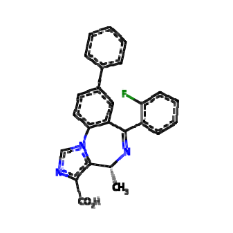 C[C@H]1N=C(c2ccccc2F)c2cc(-c3ccccc3)ccc2-n2cnc(C(=O)O)c21